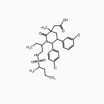 CCCC(C)S(=O)(=O)NCC(CC)N1C(=O)C(C)(CC(=O)O)CC(c2cccc(Cl)c2)C1c1ccc(Cl)cc1